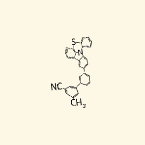 Cc1cc(C#N)cc(-c2cccc(-c3ccc4c(c3)c3cccc5c3n4-c3ccccc3S5)c2)c1